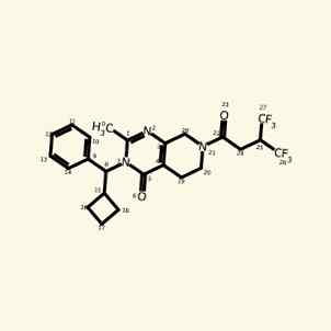 Cc1nc2c(c(=O)n1C(c1ccccc1)C1CCC1)CCN(C(=O)CC(C(F)(F)F)C(F)(F)F)C2